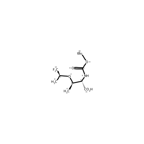 C[C@H](O[C@H](C)[C@H](NC(=O)OC(C)(C)C)C(=O)O)C(F)(F)F